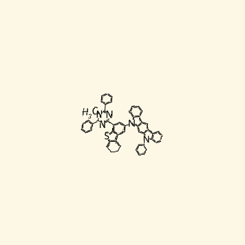 CN1C(c2ccccc2)=NC(c2cc(-n3c4ccccc4c4cc5c6ccccc6n(-c6ccccc6)c5cc43)cc3c4c(sc23)=CCCC=4)=NC1c1ccccc1